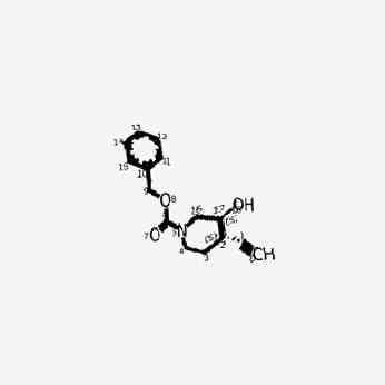 C#C[C@@H]1CCN(C(=O)OCc2ccccc2)C[C@H]1O